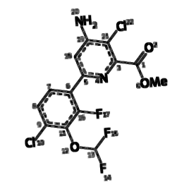 COC(=O)c1nc(-c2ccc(Cl)c(OC(F)F)c2F)cc(N)c1Cl